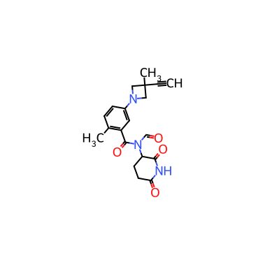 C#CC1(C)CN(c2ccc(C)c(C(=O)N(C=O)C3CCC(=O)NC3=O)c2)C1